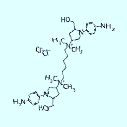 C[N+](C)(CCCCCC[N+](C)(C)C1CC(CO)N(c2ccc(N)cc2)C1)C1CC(CO)N(c2ccc(N)cc2)C1.[Cl-].[Cl-]